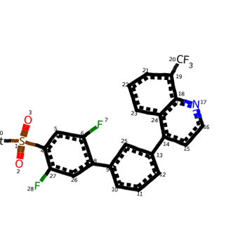 CCS(=O)(=O)c1cc(F)c(-c2cccc(-c3ccnc4c(C(F)(F)F)cccc34)c2)cc1F